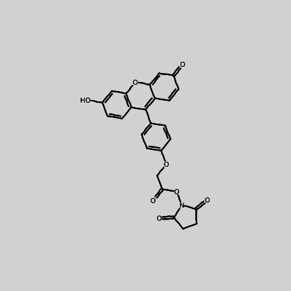 O=C(COc1ccc(-c2c3ccc(=O)cc-3oc3cc(O)ccc23)cc1)ON1C(=O)CCC1=O